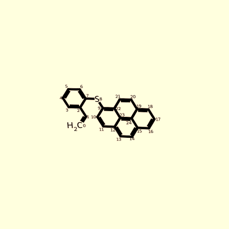 C=Cc1ccccc1Sc1ccc2ccc3cccc4ccc1c2c34